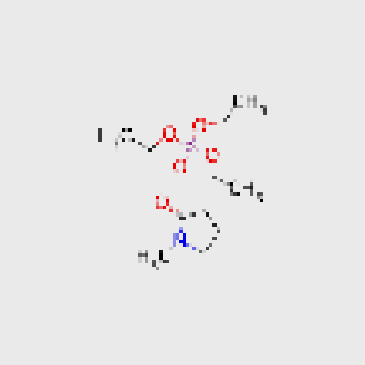 CCOP(=O)(OCC)OCC.CN1CCCC1=O